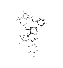 CC(C)C[C@@H](NC(=O)c1ccccc1OCc1cc(C(C)(C)C)on1)C(=O)N1CC(F)(F)C[C@@H]1C(=O)N1CCN(C)CC1